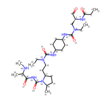 CCC(=O)N[C@H](C=O)CN(CC)C(=O)NC1CCC(NC(=O)N(CC)CCC2CCC(C)N2C(=O)NC(=O)C(C)NC)CC1